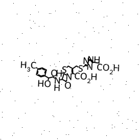 Cc1ccc(C(O)C(=O)NC2C(=O)N3C(C(=O)O)=C(CSc4n[nH]c(CC(=O)O)n4)CS[C@@H]23)cc1